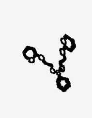 c1ccc(B(OCCOC2CCCCO2)OCCOC2CCCCO2)cc1